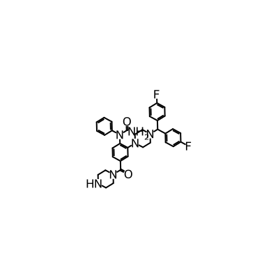 NC(=O)N(c1ccccc1)c1ccc(C(=O)N2CCNCC2)cc1N1CCN(C(c2ccc(F)cc2)c2ccc(F)cc2)CC1